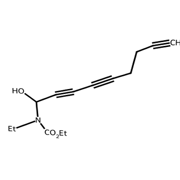 C#CCCC#CC#CC(O)N(CC)C(=O)OCC